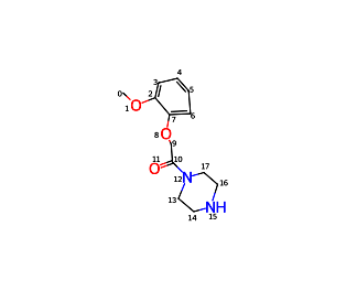 COc1ccccc1OCC(=O)N1CCNCC1